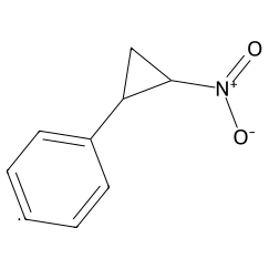 O=[N+]([O-])C1CC1c1cc[c]cc1